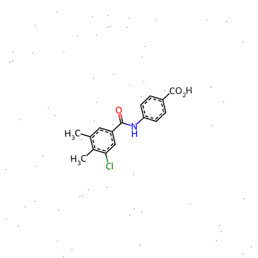 Cc1cc(C(=O)Nc2ccc(C(=O)O)cc2)cc(Cl)c1C